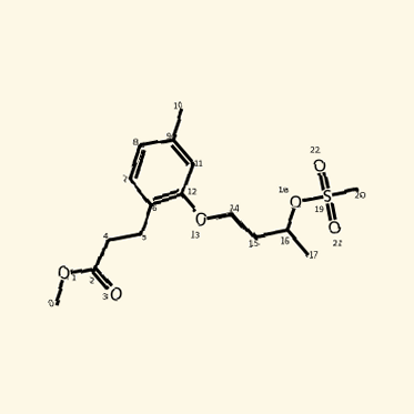 COC(=O)CCc1ccc(C)cc1OCCC(C)OS(C)(=O)=O